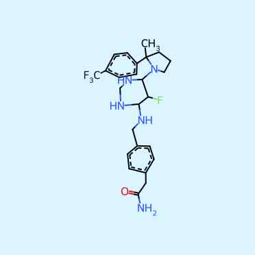 CC1(c2ccc(C(F)(F)F)cc2)CCCN1C1NCNC(NCc2ccc(CC(N)=O)cc2)C1F